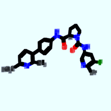 Cc1nc(C(=O)O)ccc1-c1ccc(NC(=O)[C@H]2CCCN2C(=O)Nc2cnc(C(C)C)c(F)c2)cc1